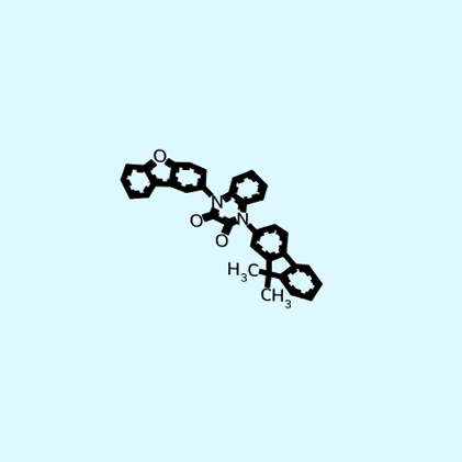 CC1(C)c2ccccc2-c2ccc(-n3c(=O)c(=O)n(-c4ccc5oc6ccccc6c5c4)c4ccccc43)cc21